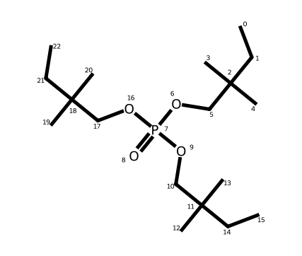 CCC(C)(C)COP(=O)(OCC(C)(C)CC)OCC(C)(C)CC